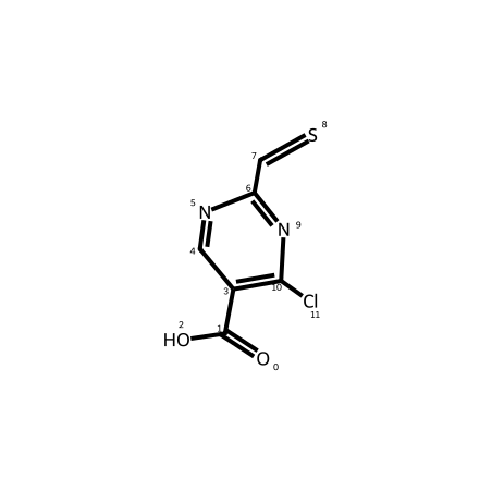 O=C(O)c1cnc(C=S)nc1Cl